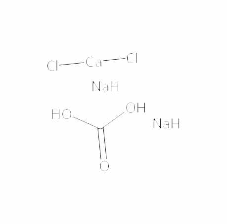 O=C(O)O.[Cl][Ca][Cl].[NaH].[NaH]